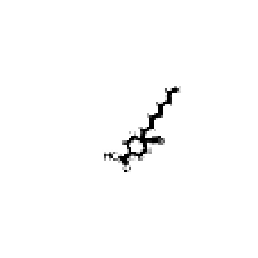 CCCCCCCCC1(C#N)CCC(C(=O)O)CC1